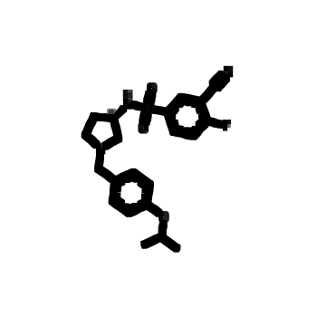 CC(C)Oc1ccc(CN2CC[C@@H](NS(=O)(=O)c3ccc(F)c(C#N)c3)C2)cc1